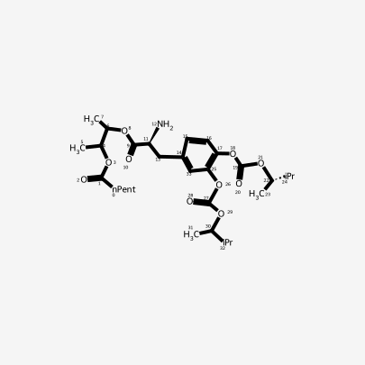 CCCCCC(=O)OC(C)C(C)OC(=O)[C@@H](N)Cc1ccc(OC(=O)O[C@@H](C)C(C)C)c(OC(=O)OC(C)C(C)C)c1